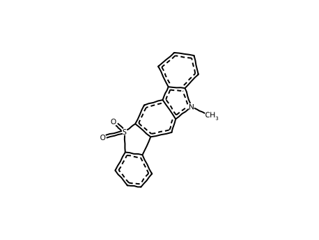 Cn1c2ccccc2c2cc3c(cc21)-c1ccccc1S3(=O)=O